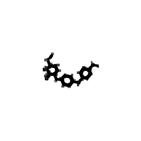 COc1ccc(Oc2ccc(Cc3cnc(SC)[nH]c3=O)cc2)cc1